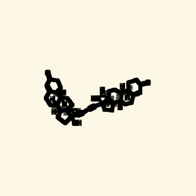 C[C@]12CC[C@H]3[C@@H](CCC4=CC(=O)CC[C@@H]43)[C@@H]1CC[C@@]2(O)C#CC#C[C@]1(O)CC[C@H]2[C@@H]3CCC4=CC(=O)CC[C@@H]4[C@H]3CC[C@@]21C